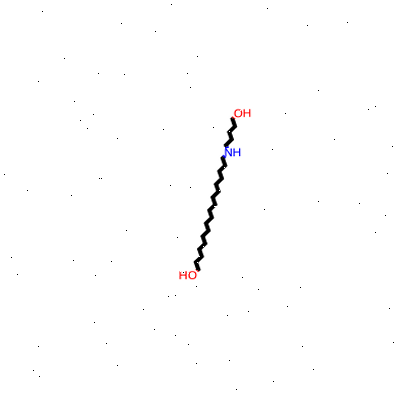 OCCCCCCCCCCCCCCCCCCNCCCCCO